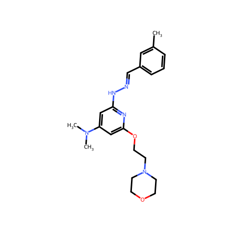 Cc1cccc(/C=N/Nc2cc(N(C)C)cc(OCCN3CCOCC3)n2)c1